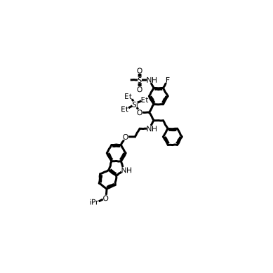 CC[Si](CC)(CC)OC(c1ccc(F)c(NS(C)(=O)=O)c1)C(Cc1ccccc1)NCCOc1ccc2c(c1)[nH]c1cc(OC(C)C)ccc12